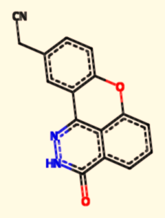 N#CCc1ccc2c(c1)-c1n[nH]c(=O)c3cccc(c13)O2